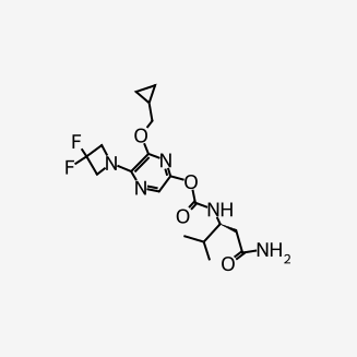 CC(C)[C@H](CC(N)=O)NC(=O)Oc1cnc(N2CC(F)(F)C2)c(OCC2CC2)n1